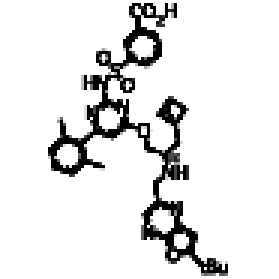 Cc1cccc(C)c1-c1cc(OC[C@@H](CC23CC(C2)C3)NCc2cnc3oc(C(C)(C)C)cc3n2)nc(NS(=O)(=O)c2cccc(C(=O)O)c2)n1